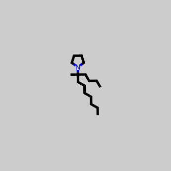 CCCCCCCC(C)(CCCC)N1CCCC1